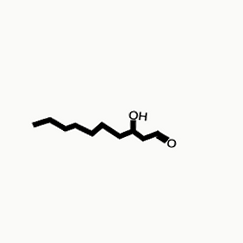 CCCCCCCC(O)C[C]=O